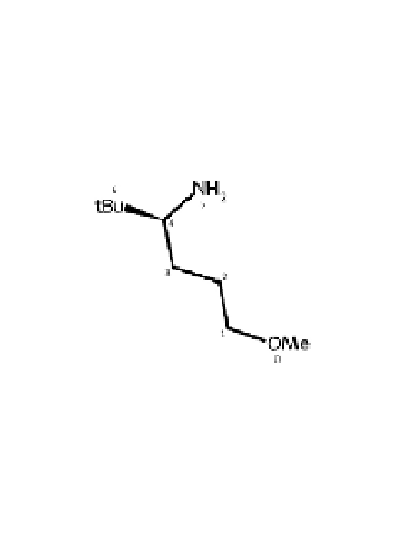 COCCC[C@H](N)C(C)(C)C